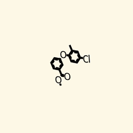 COC(=O)c1cccc(Oc2ccc(Cl)cc2C)c1